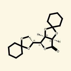 O=C1O[C@@H]([C@H]2COC3(CCCCC3)O2)[C@H]2OC3(CCCCC3)O[C@@H]12